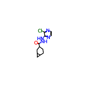 O=C(NNc1nccnc1Cl)C1CCC2CC2C1